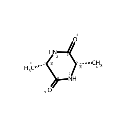 C[C@@H]1NC(=O)[C@H](C)NC1=O